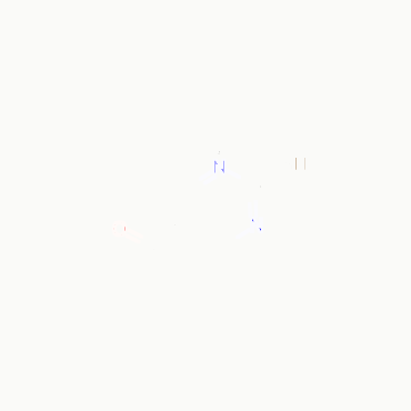 O=Cc1cnc(S)nc1